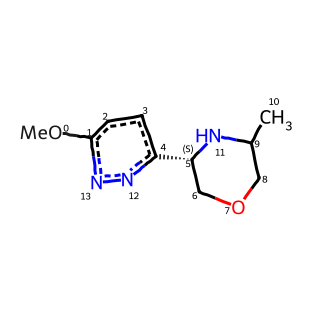 COc1ccc([C@H]2COCC(C)N2)nn1